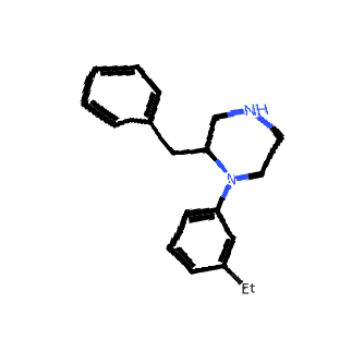 CCc1cccc(N2CCNCC2Cc2ccccc2)c1